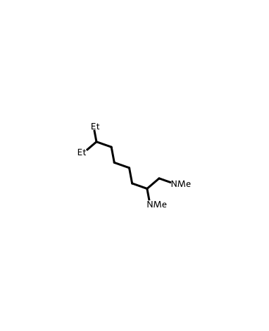 CCC(CC)CCCCC(CNC)NC